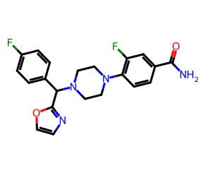 NC(=O)c1ccc(N2CCN(C(c3ccc(F)cc3)c3ncco3)CC2)c(F)c1